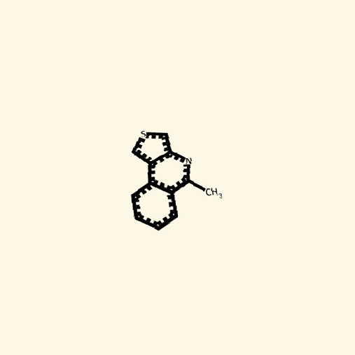 Cc1nc2cscc2c2ccccc12